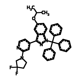 CC(C)Oc1ccc2c(c1)c(-c1ccnc(N3CCC(F)(F)C3)c1)nn2C(c1ccccc1)(c1ccccc1)c1ccccc1